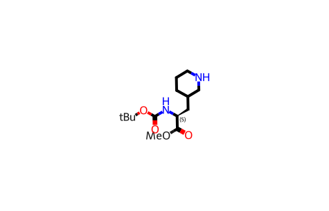 COC(=O)[C@H](CC1CCCNC1)NC(=O)OC(C)(C)C